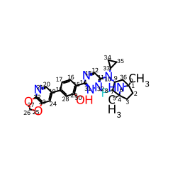 C[C@@]12CC[C@@](C)(N1)[C@@H](F)[C@@H](N(c1cnc(-c3ccc(-c4cnc5c(c4)OCO5)cc3O)nn1)C1CC1)C2